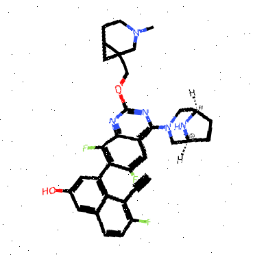 C#Cc1c(F)ccc2cc(O)cc(-c3c(F)cc4c(N5C[C@H]6CC[C@@H](C5)N6)nc(OCC56CC5CCN(C)C6)nc4c3F)c12